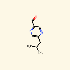 CC(C)Cc1cnc(C=O)cn1